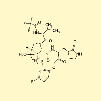 CC(C)[C@H](NC(=O)C(F)(F)F)C(=O)N1C[C@H]2[C@@H]([C@H]1C(=O)N[C@H](C[C@@H]1CCNC1=O)C(=O)COc1ccc(F)cc1F)C2(C)C